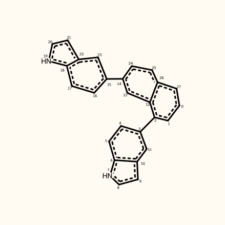 c1cc(-c2ccc3[nH]ccc3c2)c2cc(-c3ccc4[nH]ccc4c3)ccc2c1